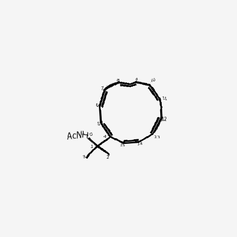 CC(=O)NC(C)(C)C1=C/C=C\C=C/C=C\C=C/C=C\1